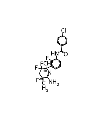 C[C@@]1(F)CC(F)(F)[C@@](C)(c2cccc(NC(=O)c3ccc(Cl)cc3)c2F)N=C1N